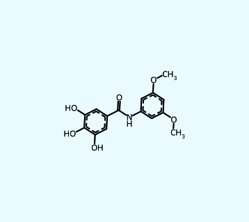 COc1cc(NC(=O)c2cc(O)c(O)c(O)c2)cc(OC)c1